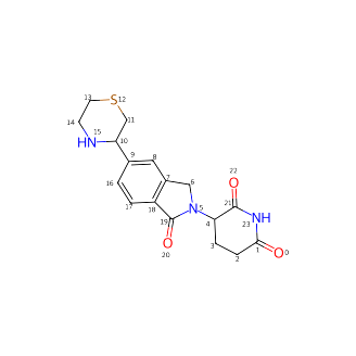 O=C1CCC(N2Cc3cc(C4CSCCN4)ccc3C2=O)C(=O)N1